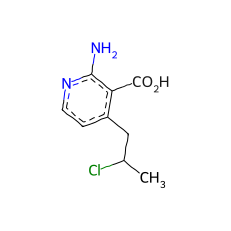 CC(Cl)Cc1ccnc(N)c1C(=O)O